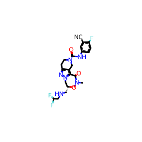 CN1O[C@H](CNCC(F)F)Cn2nc3c(c2C1=O)CN(C(=O)Nc1ccc(F)c(C#N)c1)CC3